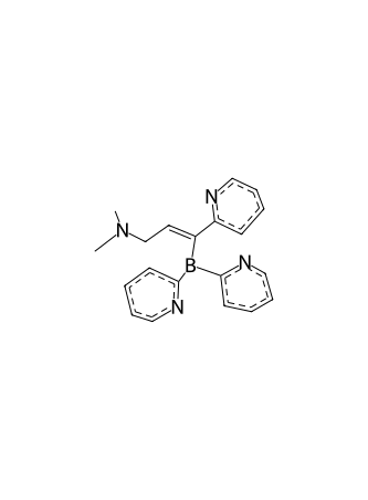 CN(C)C/C=C(\B(c1ccccn1)c1ccccn1)c1ccccn1